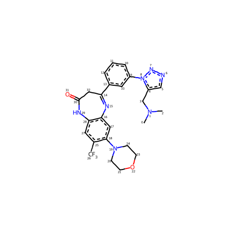 CN(C)Cc1cnnn1-c1cccc(C2=Nc3cc(N4CCOCC4)c(C(F)(F)F)cc3NC(=O)C2)c1